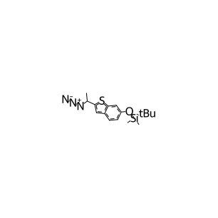 CC(N=[N+]=[N-])c1cc2ccc(O[Si](C)(C)C(C)(C)C)cc2s1